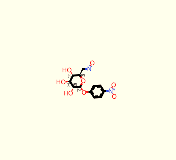 O=NC[C@H]1O[C@@H](Oc2ccc([N+](=O)[O-])cc2)[C@H](O)[C@@H](O)[C@@H]1O